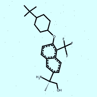 CC(C)(C)C1CCC(Oc2ccc3cc([C@](C)(N)CO)ccc3c2C(F)(F)F)CC1